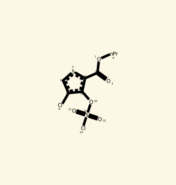 CCCOC(=O)c1scc(Cl)c1OS(=O)(=O)Cl